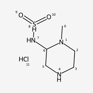 CN1CCNCC1N[SH](=O)=O.Cl